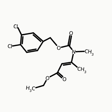 CCOC(=O)C=C(C)N(C)C(=O)OCc1ccc(Cl)c(Cl)c1